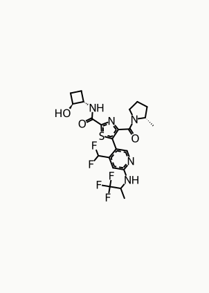 CC(Nc1cc(C(F)F)c(-c2sc(C(=O)N[C@H]3CC[C@@H]3O)nc2C(=O)N2CCC[C@@H]2C)cn1)C(F)(F)F